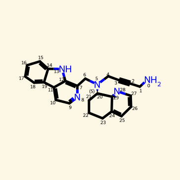 NCC#CCN(Cc1nccc2c1[nH]c1ccccc12)[C@H]1CCCc2cccnc21